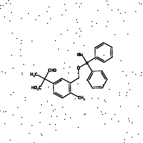 Cc1ccc(C(C)(C=O)C(=O)O)cc1CO[Si](c1ccccc1)(c1ccccc1)C(C)(C)C